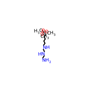 CO[Si](CCCCCCNCCNCCN)(OC)OC